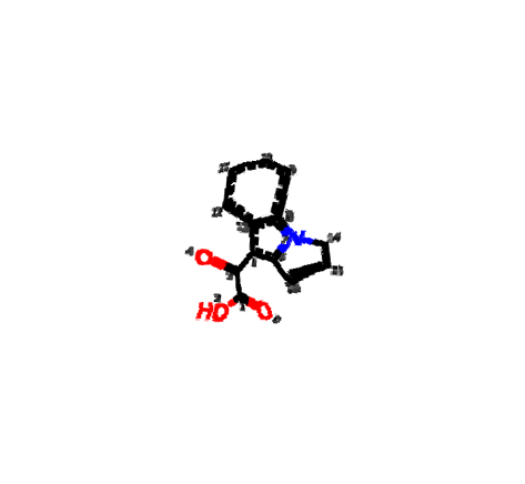 O=C(O)C(=O)c1c2n(c3ccccc13)CC=C2